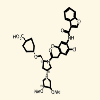 COC1CN([C@H]2C[C@@H](CO[C@H]3CC[C@H](C(=O)O)CC3)N(C(=O)Cc3cc(Cl)c(NC(=O)c4coc5ccccc45)cc3Cl)C2)C[C@H]1OC